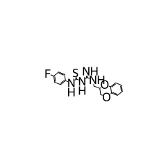 N=C(NCC1COc2ccccc2O1)NC(=S)Nc1ccc(F)cc1